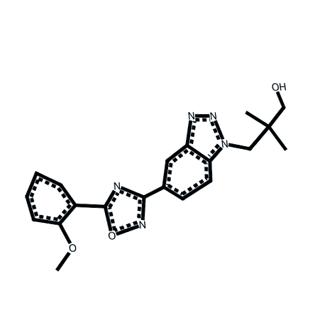 COc1ccccc1-c1nc(-c2ccc3c(c2)nnn3CC(C)(C)CO)no1